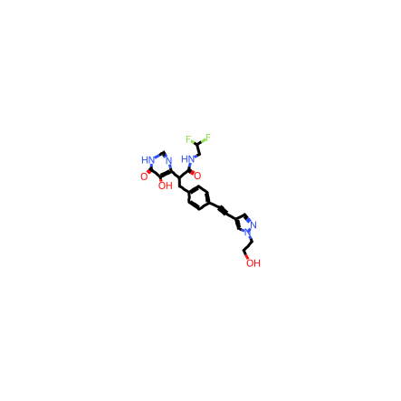 O=C(NCC(F)F)C(Cc1ccc(C#Cc2cnn(CCO)c2)cc1)c1nc[nH]c(=O)c1O